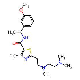 CC(NC(=O)c1sc(CCN(C)CCN(C)C)nc1C(F)(F)F)c1cccc(OC(F)(F)F)c1